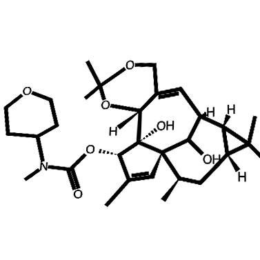 CC1=C[C@]23C(O)[C@@H](C=C4COC(C)(C)O[C@H]4[C@]2(O)[C@H]1OC(=O)N(C)C1CCOCC1)[C@H]1[C@@H](C[C@H]3C)C1(C)C